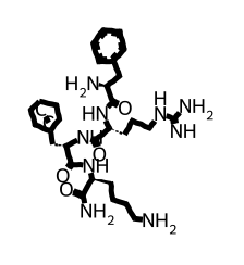 N=C(N)NCCC[C@@H](NC(=O)[C@@H](N)Cc1ccccc1)C(=O)N[C@@H](CC12CCC(CC1)CC2)C(=O)N[C@@H](CCCCN)C(N)=O